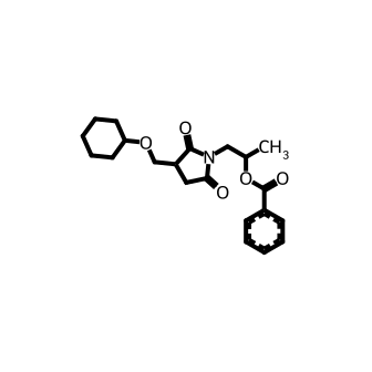 CC(CN1C(=O)CC(COC2CCCCC2)C1=O)OC(=O)c1ccccc1